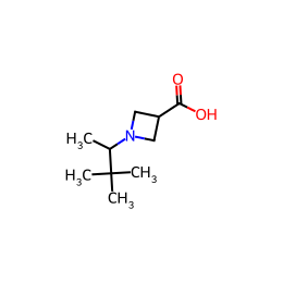 CC(N1CC(C(=O)O)C1)C(C)(C)C